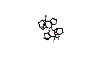 FC(F)(F)C1=[C]([Zr]([C]2=C(C(F)(F)F)C=CC2)([CH]2CC3CCC2C3)[CH]2CC3CCC2C3)CC=C1